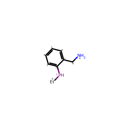 CCPc1ccccc1CN